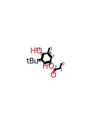 CCC(=O)O.Cc1cccc(C(C)(C)C)c1O